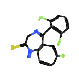 Fc1ccc2c(c1)C(c1c(F)cccc1F)=NCC(=S)N2